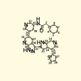 O=C(Cc1ccccc1)Nc1cncc(-c2cnc3[nH]nc(-c4cc5c(-c6cccs6)cncc5[nH]4)c3c2)c1